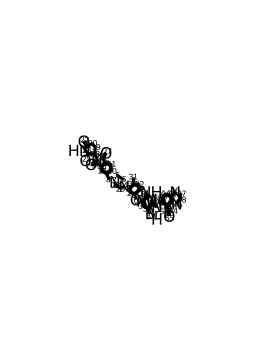 COc1cc(N2CCN(Cc3ccc4c(c3)C(=O)N(C3CCC(=O)NC3=O)C4=O)CC2)c(C)cc1Nc1ncc(Br)c(Nc2ccc3nccnc3c2P(C)(C)=O)n1